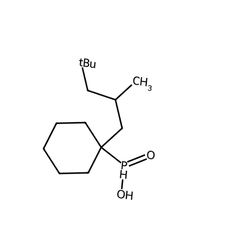 CC(CC(C)(C)C)CC1([PH](=O)O)CCCCC1